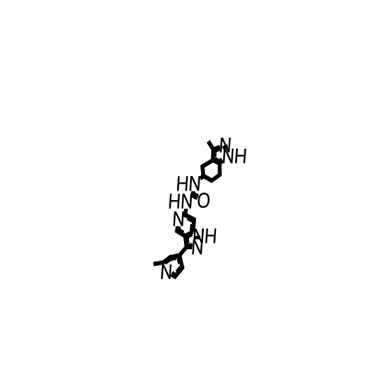 Cc1cc(-c2n[nH]c3cc(NC(=O)NC4CCc5[nH]nc(C)c5C4)ncc23)ccn1